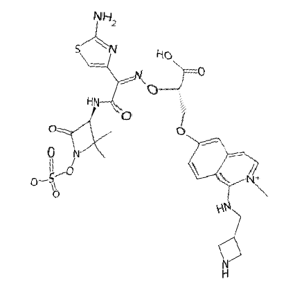 C[n+]1ccc2cc(OC[C@H](O/N=C(\C(=O)N[C@@H]3C(=O)N(OS(=O)(=O)[O-])C3(C)C)c3csc(N)n3)C(=O)O)ccc2c1NCC1CNC1